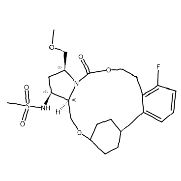 COC[C@@H]1C[C@H](NS(C)(=O)=O)[C@@H]2COC3CCC(CC3)c3cccc(F)c3CCOC(=O)N12